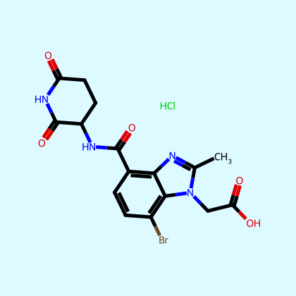 Cc1nc2c(C(=O)NC3CCC(=O)NC3=O)ccc(Br)c2n1CC(=O)O.Cl